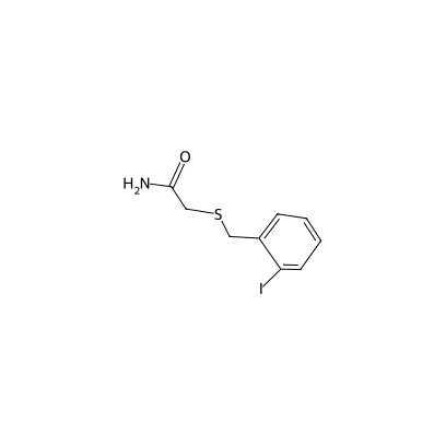 NC(=O)CSCc1ccccc1I